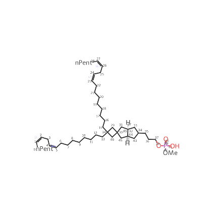 CCCCC/C=C\C/C=C\CCCCCCCCC1(CCCCCCCC/C=C\C/C=C\CCCCC)CC2(C[C@H]3CC(CCCOP(=O)(O)OC)C[C@H]3C2)C1